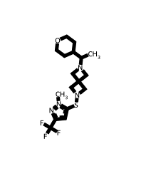 CC(C1CCOCC1)N1CC2(CN(Sc3cc(C(F)(F)F)nn3C)C2)C1